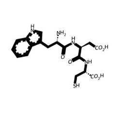 N[C@@H](Cc1c[nH]c2ccccc12)C(=O)N[C@@H](CC(=O)O)C(=O)N[C@@H](CS)C(=O)O